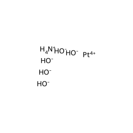 [NH4+].[OH-].[OH-].[OH-].[OH-].[OH-].[Pt+4]